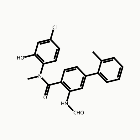 Cc1ccccc1-c1ccc(C(=O)N(C)c2ccc(Cl)cc2O)c(NC=O)c1